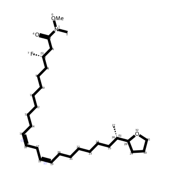 CON(C)C(=O)C[C@@H](F)CCCCCCC/C=C\C/C=C\CCCCCC[C@H](C)C1CCCO1